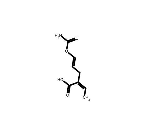 NC=C(CC=COC(N)=O)C(=O)O